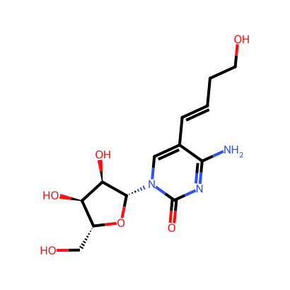 Nc1nc(=O)n([C@@H]2O[C@H](CO)[C@@H](O)[C@H]2O)cc1C=CCCO